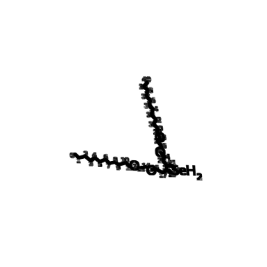 CCCCCCCCCCCCOCCOCCC1=C[SeH2]C=C1CCOCCOCCCCCCCCCCCC